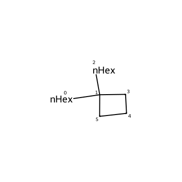 CCCCCCC1(CCCCCC)CCC1